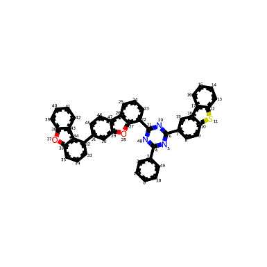 c1ccc(-c2nc(-c3ccc4sc5ccccc5c4c3)nc(-c3cccc4c3oc3cc(-c5cccc6oc7ccccc7c56)ccc34)n2)cc1